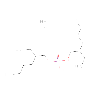 CCCCC(CC)COP(=O)(O)OCC(CC)CCCC.[HH].[NaH]